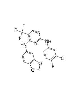 Fc1ccc(Nc2ncc(C(F)(F)F)c(Nc3ccc4c(c3)OCO4)n2)cc1Cl